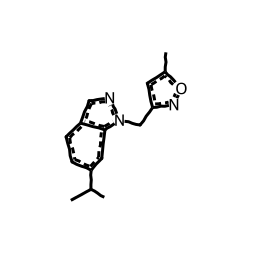 Cc1cc(Cn2ncc3ccc(C(C)C)cc32)no1